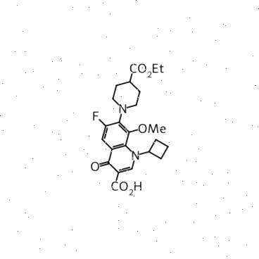 CCOC(=O)C1CCN(c2c(F)cc3c(=O)c(C(=O)O)cn(C4CCC4)c3c2OC)CC1